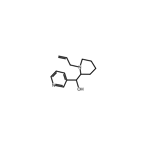 C=CCN1CCCCC1C(O)c1cccnc1